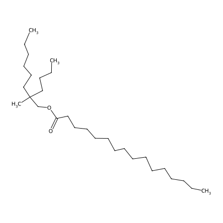 CCCCCCCCCCCCCCCC(=O)OCC(C)(CCCC)CCCCCC